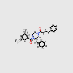 O=C(CCCc1ccccc1)N1CCN(C(=O)c2cc(C(F)(F)F)cc(C(F)(F)F)c2)[C@H](Cc2ccccc2)C1